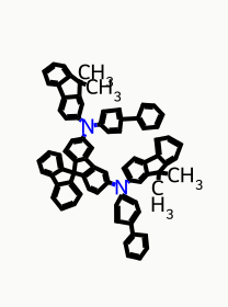 CC1(C)c2ccccc2-c2ccc(N(c3ccc(-c4ccccc4)cc3)c3ccc4c(c3)-c3cc(N(c5ccc(-c6ccccc6)cc5)c5ccc6c(c5)C(C)(C)c5ccccc5-6)ccc3C43c4ccccc4-c4ccccc43)cc21